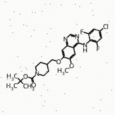 COc1cc2c(Nc3c(F)cc(Cl)cc3F)ncnc2cc1OCC1CCN(C(=O)OC(C)(C)C)CC1